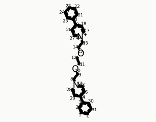 c1ccc(-c2cc[n+](CCOCCOCC[n+]3ccc(-c4ccccc4)cc3)cc2)cc1